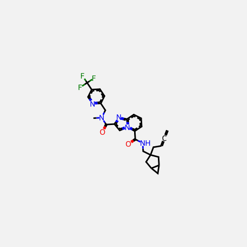 C=C=CCC1(CNC(=O)c2cccc3nc(C(=O)N(C)Cc4ccc(C(F)(F)F)cn4)cn23)CC2CC2C1